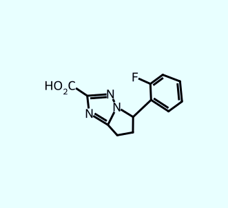 O=C(O)c1nc2n(n1)C(c1ccccc1F)CC2